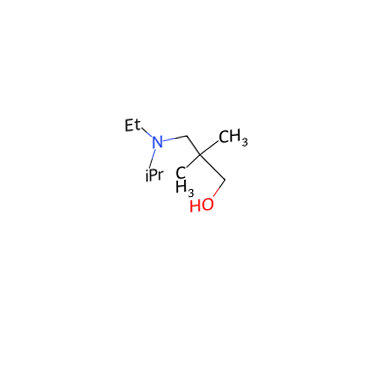 CCN(CC(C)(C)CO)C(C)C